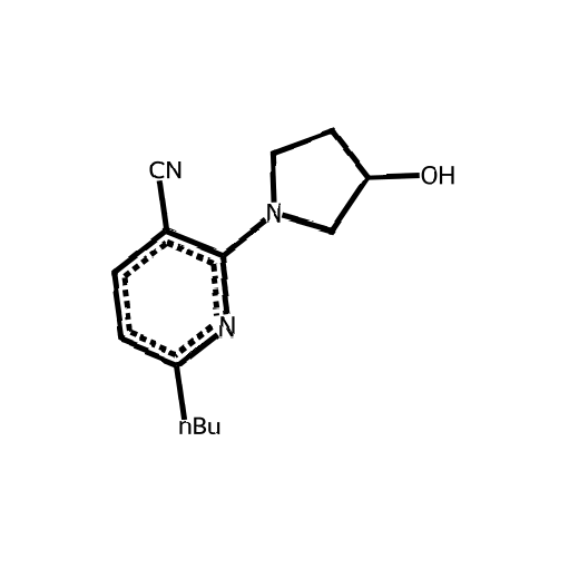 CCCCc1ccc(C#N)c(N2CCC(O)C2)n1